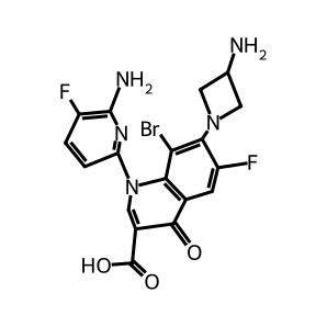 Nc1nc(-n2cc(C(=O)O)c(=O)c3cc(F)c(N4CC(N)C4)c(Br)c32)ccc1F